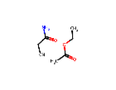 CCOC(C)=O.N#CCC(N)=O